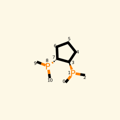 CP(C)[C@@H]1CCC[C@H]1P(C)C